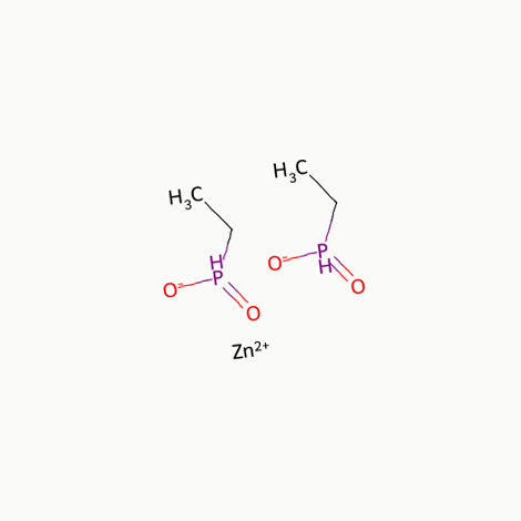 CC[PH](=O)[O-].CC[PH](=O)[O-].[Zn+2]